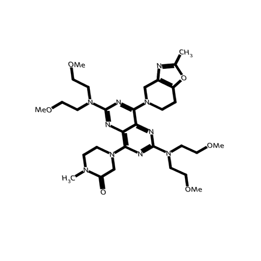 COCCN(CCOC)c1nc(N2CCc3oc(C)nc3C2)c2nc(N(CCOC)CCOC)nc(N3CCN(C)C(=O)C3)c2n1